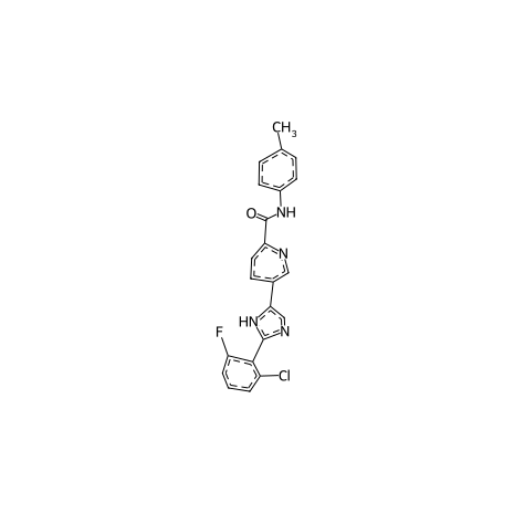 Cc1ccc(NC(=O)c2ccc(-c3cnc(-c4c(F)cccc4Cl)[nH]3)cn2)cc1